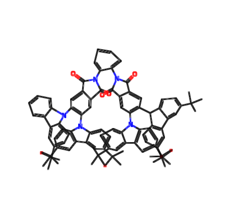 CC(C)(C)c1ccc2c(c1)-c1cc(C(C)(C)C)ccc1C2c1cc2c(cc1-n1c3ccc(C(C)(C)C)cc3c3cc(C(C)(C)C)ccc31)C(=O)N(c1ccccc1N1C(=O)c3cc(-n4c5ccccc5c5cc(C(C)(C)C)ccc54)c(-n4c5ccc(C(C)(C)C)cc5c5cc(C(C)(C)C)ccc54)cc3C1=O)C2=O